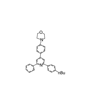 CCCCc1ccc(-c2cc(-c3ccc(N4CCOCC4)cc3)cc(-c3ccccc3)n2)cc1